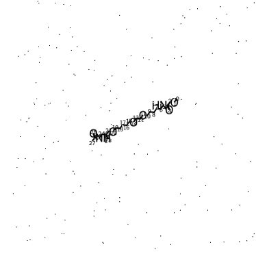 COCC(=O)NCCCCCOCCOCCCCCOCC(F)CNC(C)=O